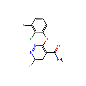 NC(=O)c1cc(Cl)nnc1Oc1cccc(F)c1F